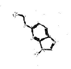 CCOc1ccc2n[c]n(C)c2n1